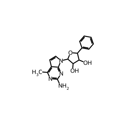 Cc1nc(N)nc2c1ccn2C1OC(c2ccccc2)C(O)C1O